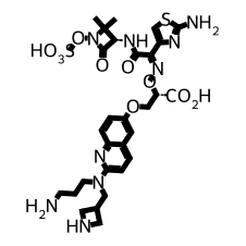 CC1(C)[C@H](NC(=O)/C(=N\O[C@@H](COc2ccc3nc(N(CCCN)CC4CNC4)ccc3c2)C(=O)O)c2csc(N)n2)C(=O)N1OS(=O)(=O)O